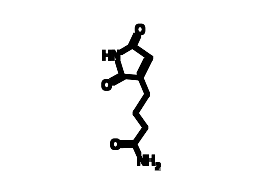 NC(=O)CCCC1=CC(=O)NC1=O